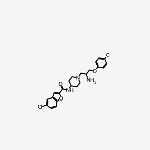 NC(COc1ccc(Cl)cc1)CN1CCC(NC(=O)c2cc3cc(Cl)ccc3o2)CC1